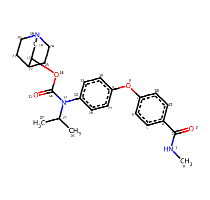 CNC(=O)c1ccc(Oc2ccc(N(C(=O)OC3CN4CCC3CC4)C(C)C)cc2)cc1